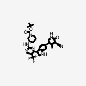 Cc1c(-c2ccc3c(-c4nc(N[C@H]5CCCN(C(=O)OC(C)(C)C)C5)ncc4C(F)(F)F)c[nH]c3c2)c[nH]c(=O)c1C#N